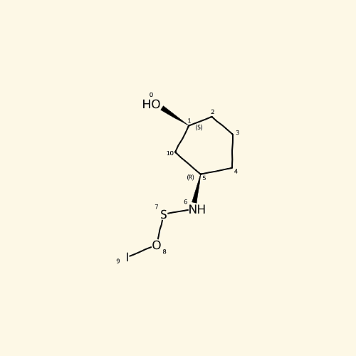 O[C@H]1CCC[C@@H](NSOI)C1